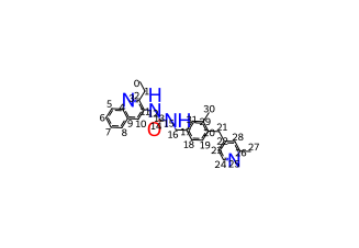 CCc1nc2ccccc2cc1NC(=O)NCc1ccc(Cc2ccnc(C)c2)c(C)c1